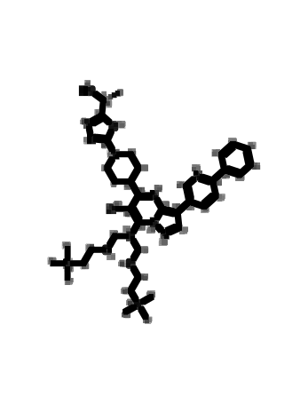 C[C@@H](O)c1nnc(N2CCC(c3nc4c(-c5ccc(-c6ccccc6)nc5)cnn4c(N(COCC[Si](C)(C)C)COCC[Si](C)(C)C)c3Br)CC2)o1